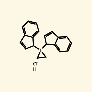 C1=C[CH]([Ti]2([CH]3C=Cc4ccccc43)[CH2][CH2]2)c2ccccc21.[Cl-].[H-]